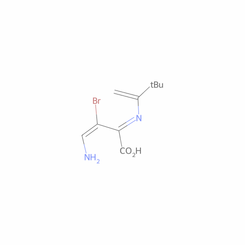 C=C(/N=C(C(=O)O)\C(Br)=C/N)C(C)(C)C